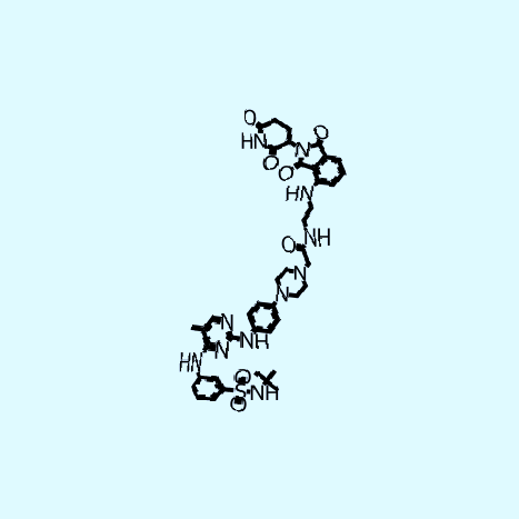 Cc1cnc(Nc2ccc(N3CCN(CC(=O)NCCNc4cccc5c4C(=O)N(C4CCC(=O)NC4=O)C5=O)CC3)cc2)nc1Nc1cccc(S(=O)(=O)NC(C)(C)C)c1